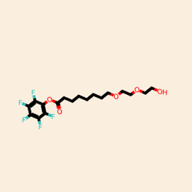 O=C(CCCCCCCOCCOCCO)Oc1c(F)c(F)c(F)c(F)c1F